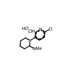 CNC1CCCCN1c1ccc(Cl)nc1.Cl.Cl